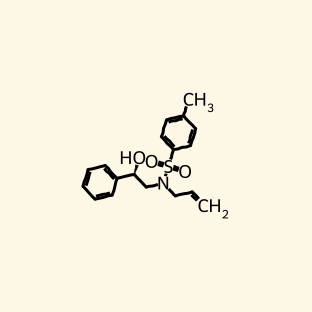 C=CCN(C[C@H](O)c1ccccc1)S(=O)(=O)c1ccc(C)cc1